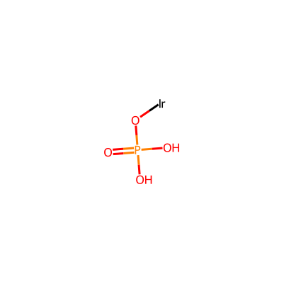 O=P(O)(O)[O][Ir]